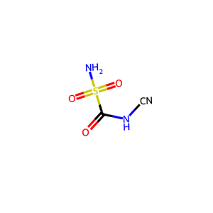 N#CNC(=O)S(N)(=O)=O